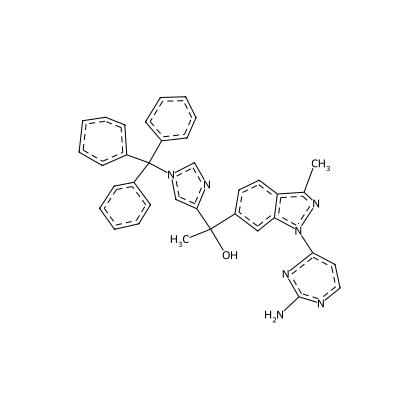 Cc1nn(-c2ccnc(N)n2)c2cc(C(C)(O)c3cn(C(c4ccccc4)(c4ccccc4)c4ccccc4)cn3)ccc12